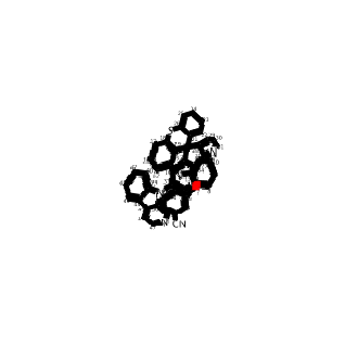 N#Cc1ccc2c(c1)c1ccccc1n2-c1cccc2c1C1(c3ccccc3S2)c2cccnc2-c2ncc(-n3c4ccccc4c4ccncc43)cc21